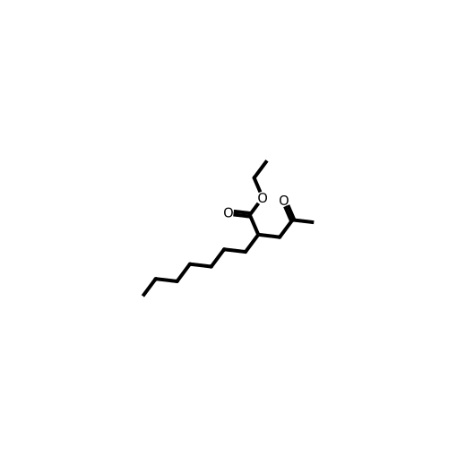 CCCCCCCC(CC(C)=O)C(=O)OCC